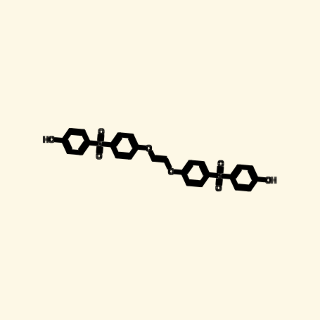 O=S(=O)(c1ccc(O)cc1)c1ccc(OC=COc2ccc(S(=O)(=O)c3ccc(O)cc3)cc2)cc1